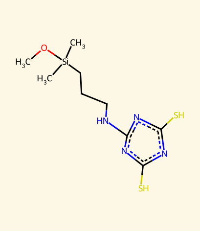 CO[Si](C)(C)CCCNc1nc(S)nc(S)n1